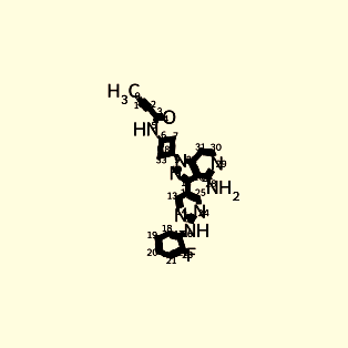 CC#CC(=O)N[C@H]1C[C@@H](n2nc(-c3cnc(Nc4ccccc4F)nc3)c3c(N)nccc32)C1